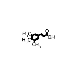 Cc1cc(/C=C/C(=O)O)cc(C)c1C